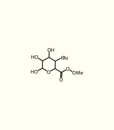 COOC(=O)C1OC(O)C(O)C(O)C1C(C)(C)C